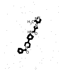 Cc1nnccc1N1CC(C(=O)Nc2ccc(C3CCN(C(=O)c4ccccc4)CC3)cc2)C1